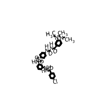 CCn1c(C)[n+](CC)c2cc(C(=O)NC(=O)Nc3ccc(S(=O)(=O)Nc4cccc(NNC(=O)c5ccc(Cl)cc5)c4)cc3)ccc21